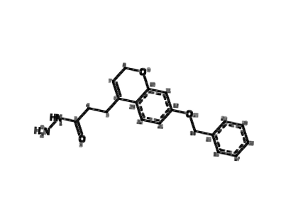 NNC(=O)CCC1=CCOc2cc(OCc3ccccc3)ccc21